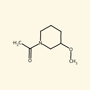 [CH2]C(=O)N1CCCC(OC)C1